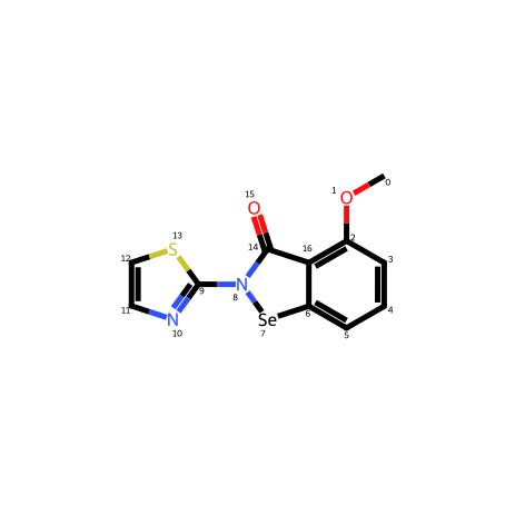 COc1cccc2[se]n(-c3nccs3)c(=O)c12